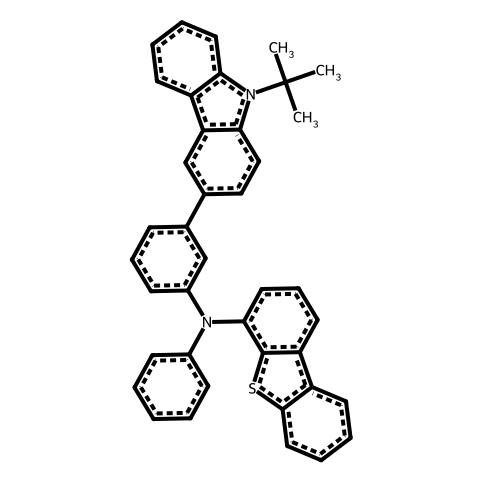 CC(C)(C)n1c2ccccc2c2cc(-c3cccc(N(c4ccccc4)c4cccc5c4sc4ccccc45)c3)ccc21